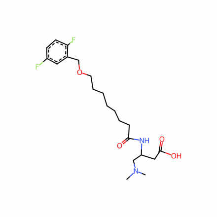 CN(C)CC(CC(=O)O)NC(=O)CCCCCCCOCc1cc(F)ccc1F